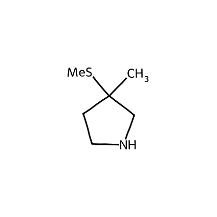 CSC1(C)CCNC1